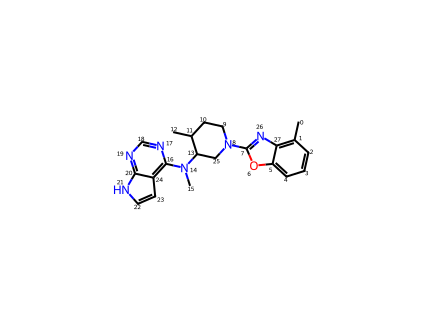 Cc1cccc2oc(N3CCC(C)C(N(C)c4ncnc5[nH]ccc45)C3)nc12